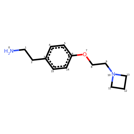 NCCc1ccc(OCCN2CCC2)cc1